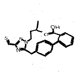 CC(C)CCn1nc(C=S)nc1Cc1ccc(-c2ccccc2C(=O)O)cc1